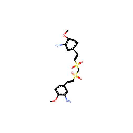 COc1ccc(C=CS(=O)(=O)CS(=O)(=O)/C=C/c2ccc(OC)c(N)c2)cc1N